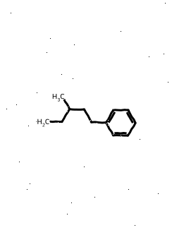 [CH2]CC(C)CCc1ccccc1